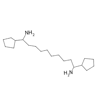 NC(CCCCCCCCC(N)C1CCCC1)C1CCCC1